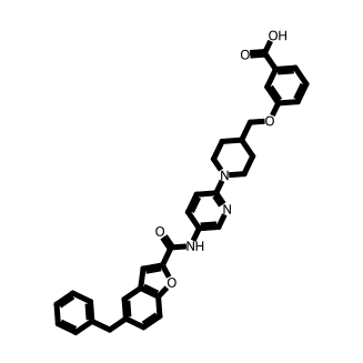 O=C(O)c1cccc(OCC2CCN(c3ccc(NC(=O)c4cc5cc(Cc6ccccc6)ccc5o4)cn3)CC2)c1